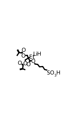 C=C(C)C(=O)OCC(CC)(COC(=O)C(=C)C)C(=O)OCCCCCCS(=O)(=O)O.[LiH]